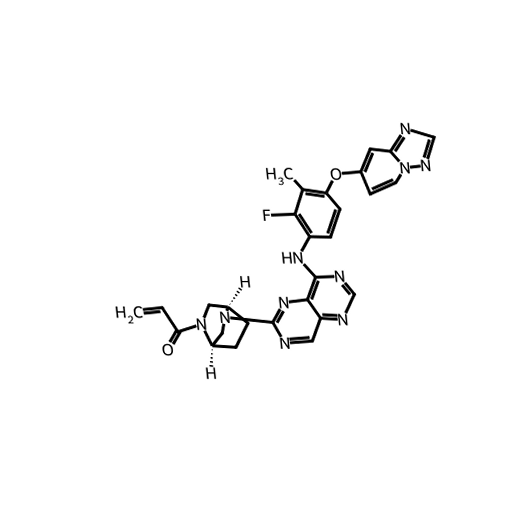 C=CC(=O)N1C[C@H]2CC[C@@H]1CN2c1ncc2ncnc(Nc3ccc(Oc4ccn5ncnc5c4)c(C)c3F)c2n1